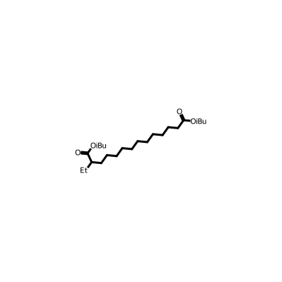 CCC(CCCCCCCCCCCC(=O)OCC(C)C)C(=O)OCC(C)C